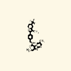 CCc1nc2ncc(C)cn2c1C(=O)NCc1ccc(-c2nn3c(c2C)CC(C(F)(F)F)CC3)cc1